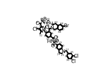 CCCCN(CCCC)C(=O)c1nn(-c2ccc(C(=O)NS(=O)(=O)c3ccc4c(c3)CCN4Cc3ccc(Cl)c(Cl)c3)cc2C(=O)N2CCc3cc(Br)ccc3C2)c(C)c1Cl